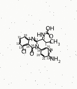 CCC(NC(=O)O)c1nc2cccc(Cl)c2c(=O)n1-c1ccc(N)nc1